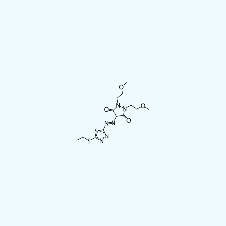 CCSc1nnc(/N=N/C2C(=O)N(CCOC)N(CCOC)C2=O)s1